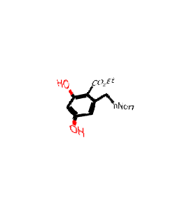 CCCCCCCCCCc1cc(O)cc(O)c1C(=O)OCC